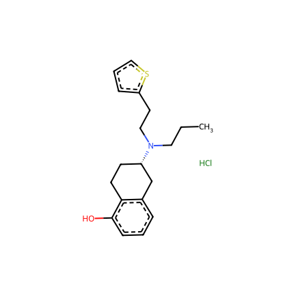 CCCN(CCc1cccs1)[C@H]1CCc2c(O)cccc2C1.Cl